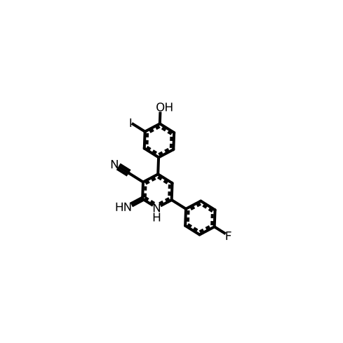 N#Cc1c(-c2ccc(O)c(I)c2)cc(-c2ccc(F)cc2)[nH]c1=N